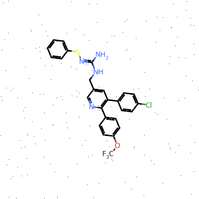 N/C(=N\Sc1ccccc1)NCc1cnc(-c2ccc(OC(F)(F)F)cc2)c(-c2ccc(Cl)cc2)c1